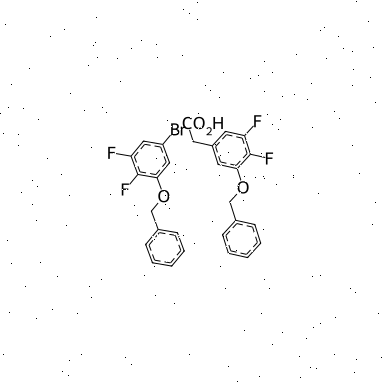 Fc1cc(Br)cc(OCc2ccccc2)c1F.O=C(O)Cc1cc(F)c(F)c(OCc2ccccc2)c1